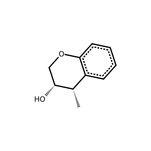 C[C@H]1c2ccccc2OC[C@H]1O